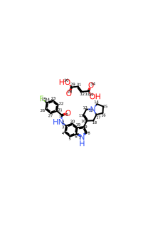 O=C(Nc1ccc2[nH]cc(C3=CCN4CCCC4C3)c2c1)c1ccc(F)cc1.O=C(O)/C=C/C(=O)O